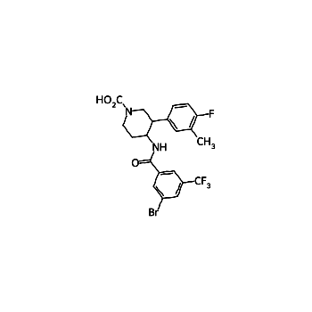 Cc1cc(C2CN(C(=O)O)CCC2NC(=O)c2cc(Br)cc(C(F)(F)F)c2)ccc1F